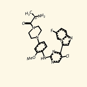 COc1cc(N2CCN(C(=O)[C@@H](C)N)CC2)ccc1Nc1ncc(Cl)c(-c2cnc3ccc(F)cn23)n1